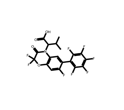 CC(C)C(C(=O)O)N1C(=O)C(F)(F)Oc2cc(F)c(-c3c(F)c(F)c(F)c(F)c3F)cc21